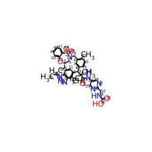 CC[C@@H]1CN(Cc2cc(C(c3ccc4c(nnn4CC)c3C)C(C)(C)C(=O)Nc3cnc(CNC(=O)O)nc3)ccc2C)S(=O)(=O)c2ccccc2O1